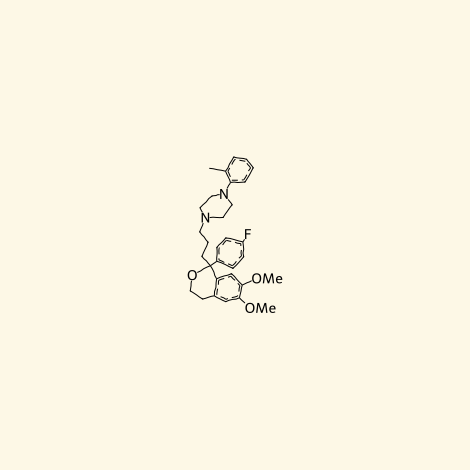 COc1cc2c(cc1OC)C(CCCN1CCN(c3ccccc3C)CC1)(c1ccc(F)cc1)OCC2